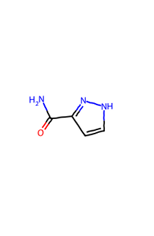 NC(=O)c1cc[nH]n1